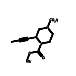 CC#CC1CN(C(=O)O)CCN1C(=O)OC(C)(C)C